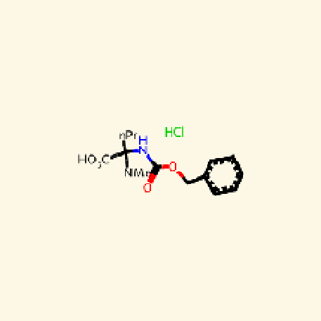 CCCC(NC)(NC(=O)OCc1ccccc1)C(=O)O.Cl